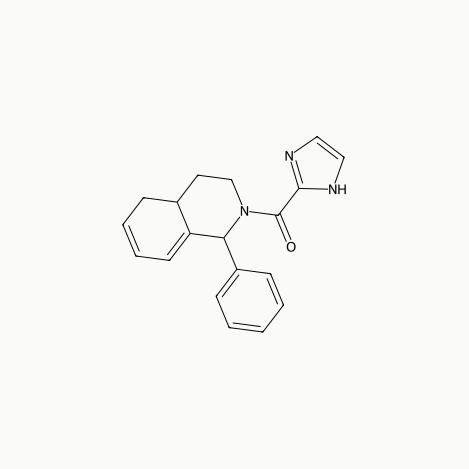 O=C(c1ncc[nH]1)N1CCC2CC=CC=C2C1c1ccccc1